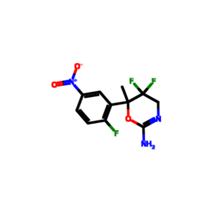 CC1(c2cc([N+](=O)[O-])ccc2F)OC(N)=NCC1(F)F